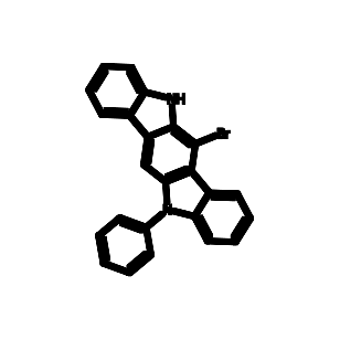 Brc1c2[nH]c3ccccc3c2cc2c1c1ccccc1n2-c1ccccc1